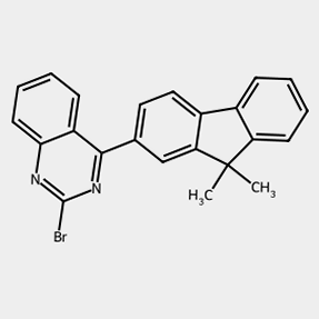 CC1(C)c2ccccc2-c2ccc(-c3nc(Br)nc4ccccc34)cc21